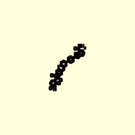 NC(=O)c1cccc2cn(-c3ccc([C@@H]4CCCN(Cc5cc6c(cc5F)C(=O)N(C5CCC(=O)NC5=O)C6=O)C4)cc3)nc12